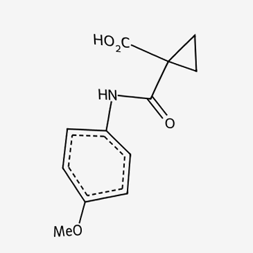 COc1ccc(NC(=O)C2(C(=O)O)CC2)cc1